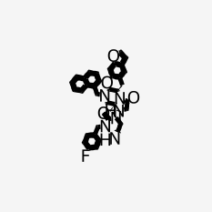 N#CCN(C(=O)NCc1ccc(F)cc1)N1CC(=O)N2[C@@H](Cc3ccc4occc4c3)C(=O)N(Cc3cccc4ccccc34)C[C@@H]21